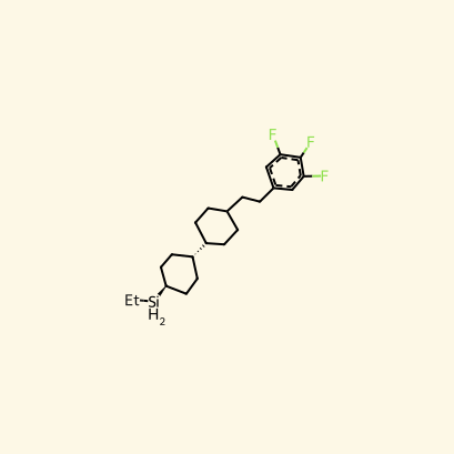 CC[SiH2][C@H]1CC[C@H](C2CCC(CCc3cc(F)c(F)c(F)c3)CC2)CC1